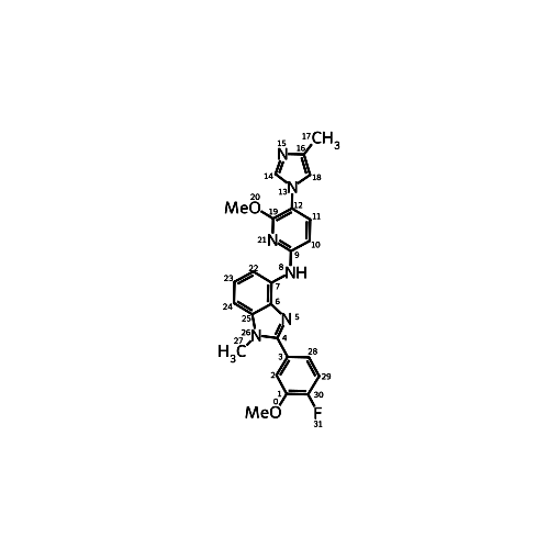 COc1cc(-c2nc3c(Nc4ccc(-n5cnc(C)c5)c(OC)n4)cccc3n2C)ccc1F